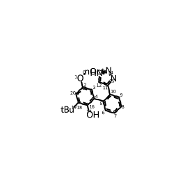 CCCCCCCCOc1cc(-c2ccccc2-c2c[nH]nn2)c(O)c(C(C)(C)C)c1